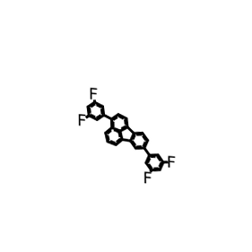 Fc1cc(F)cc(-c2ccc3c(c2)-c2cccc4c(-c5cc(F)cc(F)c5)ccc-3c24)c1